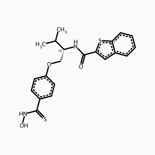 CC(C)[C@@H](COc1ccc(C(=S)NO)cc1)NC(=O)c1cc2ccccc2s1